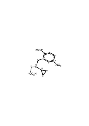 COc1ccc([N+](=O)[O-])cc1CN(CC(=O)O)C1CC1